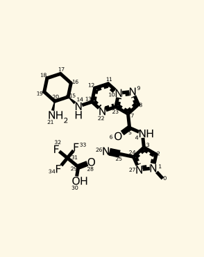 Cn1cc(NC(=O)c2cnn3ccc(N[C@@H]4CCCC[C@@H]4N)nc23)c(C#N)n1.O=C(O)C(F)(F)F